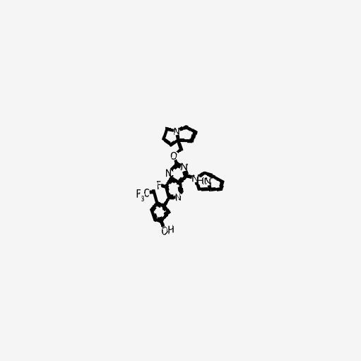 Oc1ccc(CC(F)(F)F)c(-c2ncc3c(N4CC5CCC(C4)N5)nc(OCC45CCCN4CCC5)nc3c2F)c1